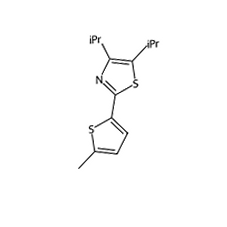 Cc1ccc(-c2nc(C(C)C)c(C(C)C)s2)s1